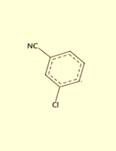 N#Cc1cc[c]c(Cl)c1